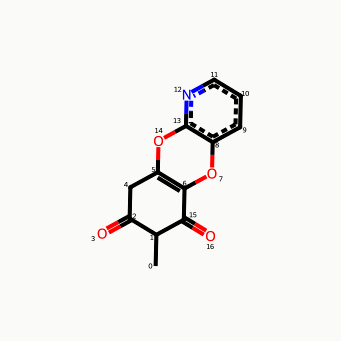 CC1C(=O)CC2=C(Oc3cccnc3O2)C1=O